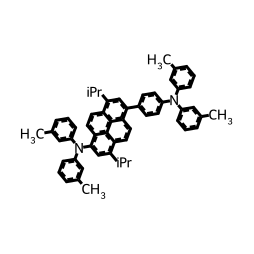 Cc1cccc(N(c2ccc(-c3cc(C(C)C)c4ccc5c(N(c6cccc(C)c6)c6cccc(C)c6)cc(C(C)C)c6ccc3c4c65)cc2)c2cccc(C)c2)c1